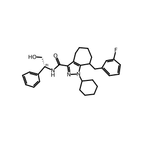 O=C(N[C@@H](CO)c1ccccc1)c1nn(C2CCCCC2)c2c1CCCCC2Cc1cccc(F)c1